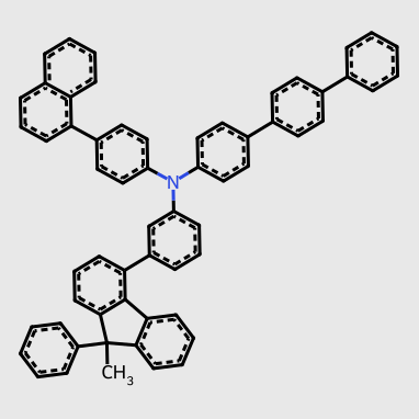 CC1(c2ccccc2)c2ccccc2-c2c(-c3cccc(N(c4ccc(-c5ccc(-c6ccccc6)cc5)cc4)c4ccc(-c5cccc6ccccc56)cc4)c3)cccc21